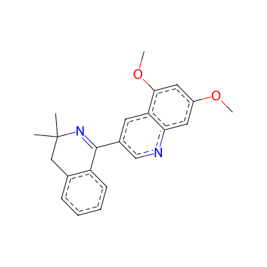 COc1cc(OC)c2cc(C3=NC(C)(C)Cc4ccccc43)cnc2c1